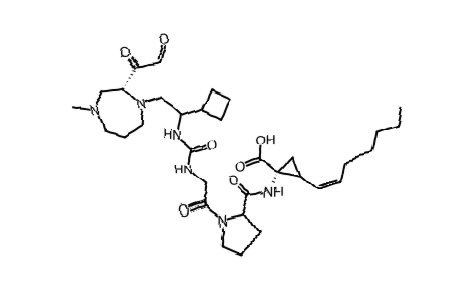 CCCCC/C=C\C1C[C@]1(NC(=O)C1CCCN1C(=O)CNC(=O)NC(CN1CCCN(C)C[C@@H]1C(=O)C=O)C1CCC1)C(=O)O